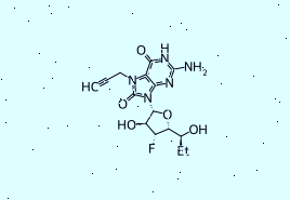 C#CCn1c(=O)n([C@@H]2O[C@H]([C@@H](O)CC)[C@H](F)[C@H]2O)c2nc(N)[nH]c(=O)c21